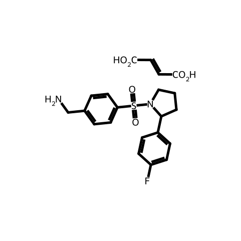 NCc1ccc(S(=O)(=O)N2CCCC2c2ccc(F)cc2)cc1.O=C(O)C=CC(=O)O